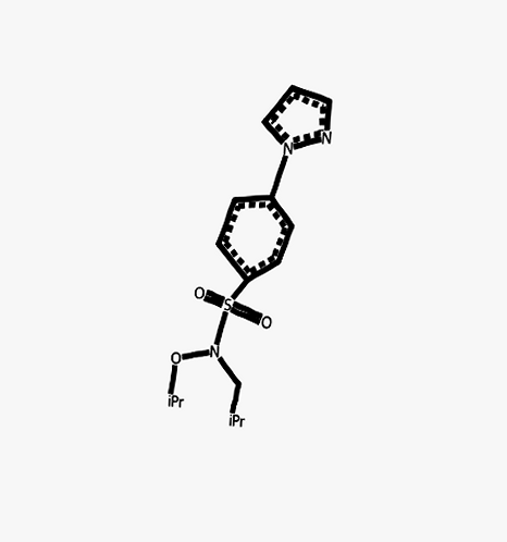 CC(C)CN(OC(C)C)S(=O)(=O)c1ccc(-n2cccn2)cc1